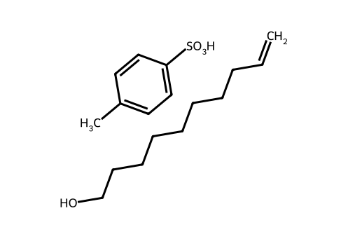 C=CCCCCCCCCO.Cc1ccc(S(=O)(=O)O)cc1